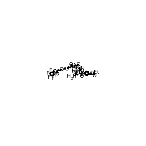 CCC(=O)OCc1ccc(NC(=O)[C@H](CC(N)=O)NC(=O)[C@H](C)NC(=O)[C@H](C)NC(=O)CCOCCOCCC(=O)Oc2c(F)c(F)c(F)c(F)c2F)cc1